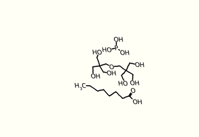 CCCCCCCC(=O)O.OCC(CO)(CO)COCC(CO)(CO)CO.OP(O)O